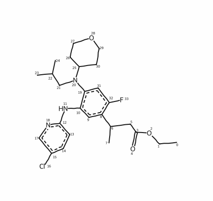 CCOC(=O)CC(C)c1cc(Nc2ccc(Cl)cn2)c(N(CC(C)C)C2CCOCC2)cc1F